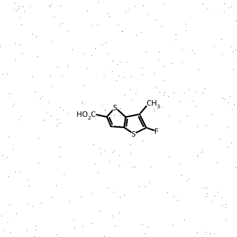 Cc1c(F)sc2cc(C(=O)O)sc12